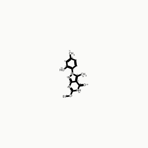 CCOc1nc2nn(-c3ccc(C)cc3O)c(C)c2c(=O)[nH]1